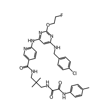 Cc1ccc(NC(=O)C(=O)NCC(C)(C)CNC(=O)c2ccc(Nc3cc(NCc4ccc(Cl)cc4)nc(OCCF)n3)nc2)cc1